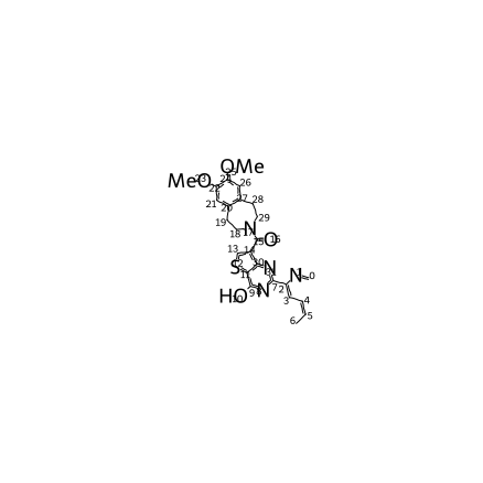 C=N/C(=C\C=C/C)c1nc(O)c2scc(C(=O)N3CCc4cc(OC)c(OC)cc4CC3)c2n1